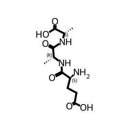 C[C@H](NC(=O)[C@@H](C)NC(=O)[C@@H](N)CCC(=O)O)C(=O)O